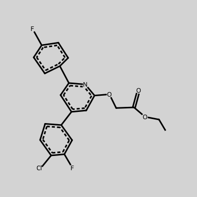 CCOC(=O)COc1cc(-c2ccc(Cl)c(F)c2)cc(-c2ccc(F)cc2)n1